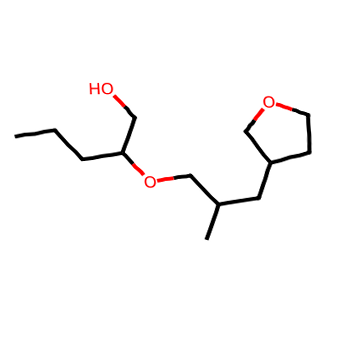 CCCC(CO)OCC(C)CC1CCOC1